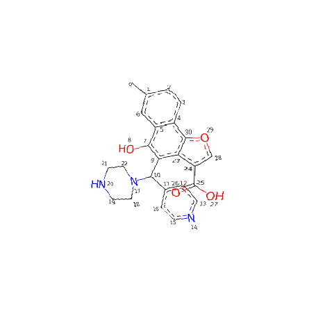 Cc1ccc2c(c1)c(O)c(C(c1ccncc1)N1CCNCC1)c1c(C(=O)O)coc12